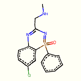 CNCC1=Nc2ccc(Cl)cc2S(=O)(c2ccccc2)=N1